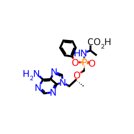 CC(N[P@@](=O)(CO[C@H](C)Cn1cnc2c(N)ncnc21)Oc1ccccc1)C(=O)O